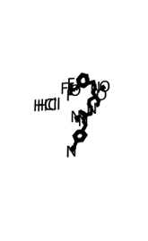 Cl.Cl.N#Cc1ccc(Cn2cncc2CN2CCC3(CC2)CN(Cc2cccc(OC(F)(F)F)c2)C(=O)O3)cc1